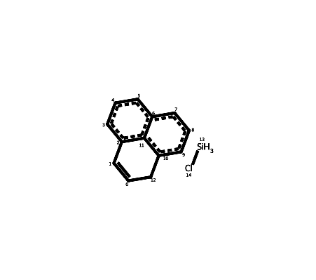 C1=Cc2cccc3cccc(c23)C1.[SiH3]Cl